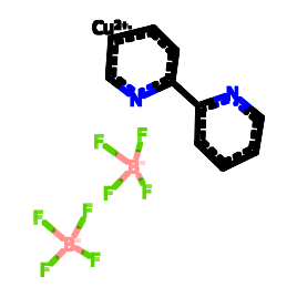 F[B-](F)(F)F.F[B-](F)(F)F.[Cu+2].c1ccc(-c2ccccn2)nc1